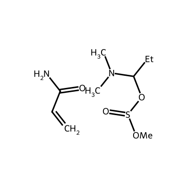 C=CC(N)=O.CCC(OS(=O)OC)N(C)C